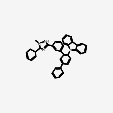 CN1NC(c2cccc(-c3cc(-c4ccccc4)ccc3-n3c4ccccc4c4ccccc43)c2)=NC1C1C=CC=CC1